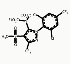 CCOC(=O)N(C(=O)OCC)c1c(S(C)(=O)=O)c(C(F)(F)F)nn1-c1c(Cl)cc(C(F)(F)F)cc1Cl